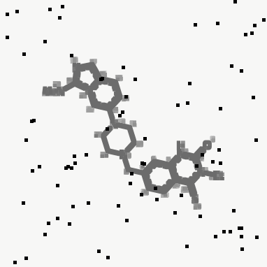 CCn1c(=O)[nH]c2cc(CN3CCN(c4ccc5cnc(NC)n5c4)CC3)ccc2c1=S